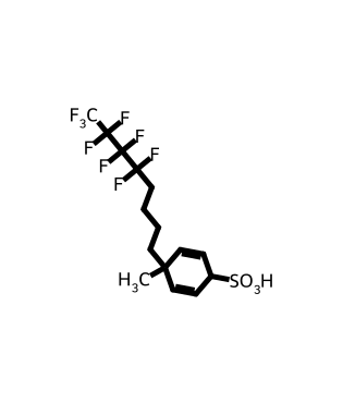 CC1(CCCCC(F)(F)C(F)(F)C(F)(F)C(F)(F)F)C=CC(S(=O)(=O)O)C=C1